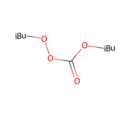 CCC(C)OOC(=O)OC(C)CC